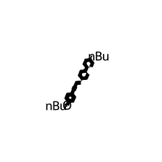 CCCCOc1ccc(C#CC=C[C@H]2CC[C@H]([C@H]3CC[C@H](CCCC)CC3)CC2)cc1